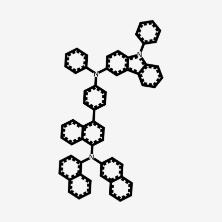 c1ccc(N(c2ccc(-c3ccc(N(c4ccc5ccccc5c4)c4cccc5ccccc45)c4ccccc34)cc2)c2ccc3c(c2)c2ccccc2n3-c2ccccc2)cc1